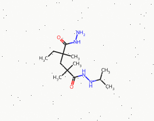 CCC(C)(CC(C)(C)C(=O)NNC(C)C)C(=O)NN